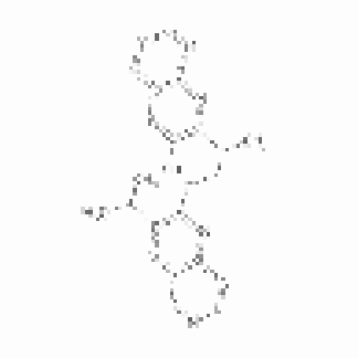 CC(C)c1cc2cncnc2nc1OCC(C)c1nc2ncncc2cc1O